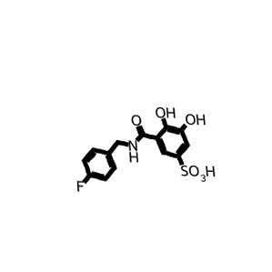 O=C(NCc1ccc(F)cc1)c1cc(S(=O)(=O)O)cc(O)c1O